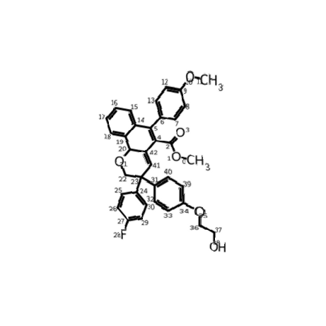 COC(=O)C1=C(c2ccc(OC)cc2)c2ccccc2C2OCC(c3ccc(F)cc3)(c3ccc(OCCO)cc3)C=C12